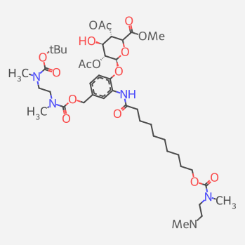 CNCCN(C)C(=O)OCCCCCCCCCC(=O)Nc1cc(COC(=O)N(C)CCN(C)C(=O)OC(C)(C)C)ccc1O[C@@H]1OC(C(=O)OC)[C@@H](OC(C)=O)[C@H](O)[C@H]1OC(C)=O